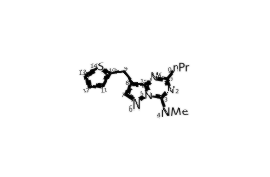 CCCc1nc(NC)n2ncc(Cc3cccs3)c2n1